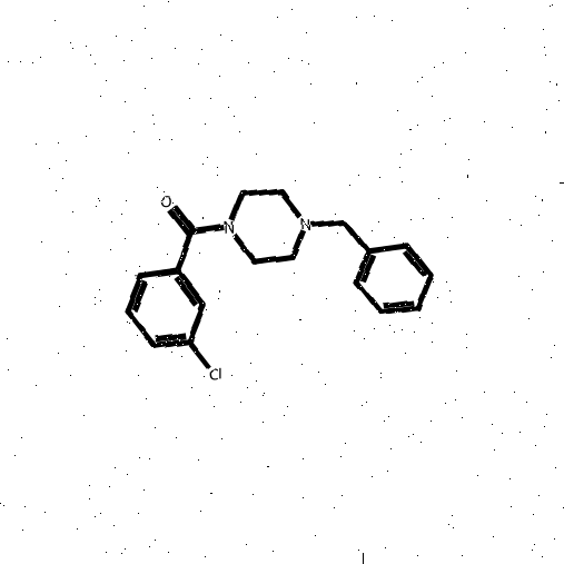 O=C(c1[c]ccc(Cl)c1)N1CCN(Cc2ccccc2)CC1